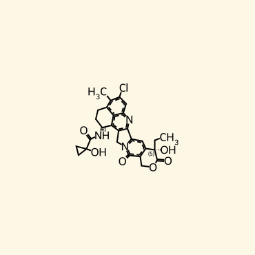 CC[C@@]1(O)C(=O)OCc2c1cc1n(c2=O)Cc2c-1nc1cc(Cl)c(C)c3c1c2[C@H](NC(=O)C1(O)CC1)CC3